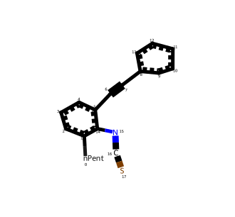 CCCCCc1cccc(C#Cc2ccccc2)c1N=C=S